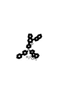 CC1(C)c2ccccc2-c2ccc(N(c3ccc(-c4ccccc4)cc3)c3ccc4c(c3)oc3c(-c5ccc6ccccc6c5)c5ccccc5cc34)cc21